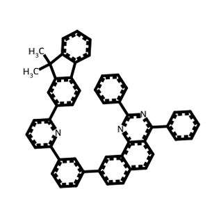 CC1(C)c2ccccc2-c2ccc(-c3cccc(-c4cccc(-c5ccc6ccc7c(-c8ccccc8)nc(-c8ccccc8)nc7c6c5)c4)n3)cc21